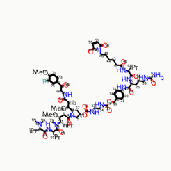 CCC[C@@H]([C@@H](CC(=O)N1C[C@@H](OC(=O)NCCNC(=O)OCc2ccc(NC(=O)[C@H](CCCNC(N)=O)NC(=O)[C@@H](NC(=O)CCCCCN3C(=O)C=CC3=O)C(C)C)cc2)C[C@H]1[C@H](OC)[C@@H](C)C(=O)NCC(=O)c1ccc(OC)c(F)c1)OC)N(C)C(=O)[C@@H](NC(=O)[C@H](C(C)C)N(C)C)C(C)C